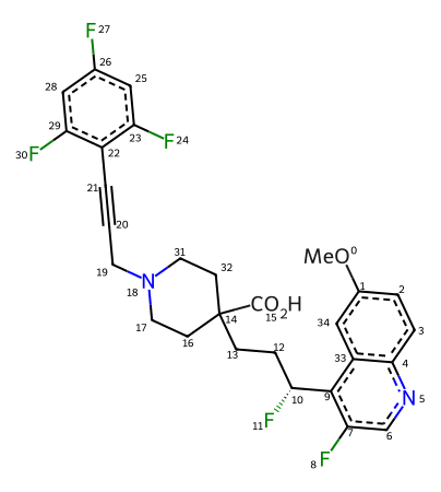 COc1ccc2ncc(F)c([C@H](F)CCC3(C(=O)O)CCN(CC#Cc4c(F)cc(F)cc4F)CC3)c2c1